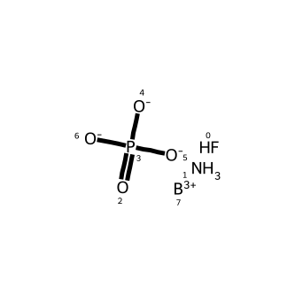 F.N.O=P([O-])([O-])[O-].[B+3]